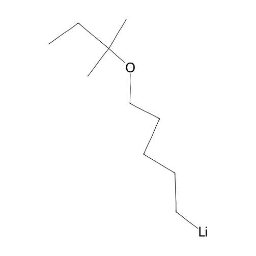 [Li][CH2]CCCCOC(C)(C)CC